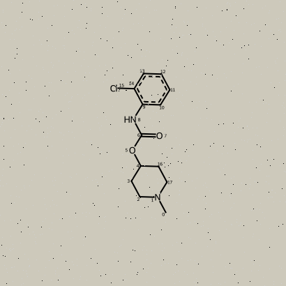 CN1CCC(OC(=O)Nc2ccccc2Cl)CC1